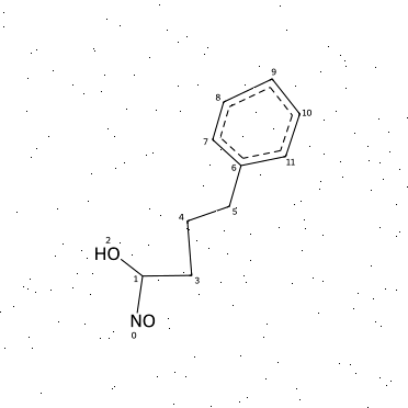 O=NC(O)CCCc1ccccc1